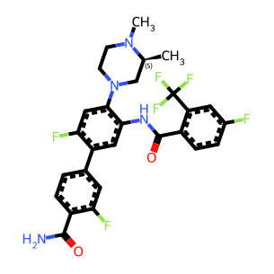 C[C@H]1CN(c2cc(F)c(-c3ccc(C(N)=O)c(F)c3)cc2NC(=O)c2ccc(F)cc2C(F)(F)F)CCN1C